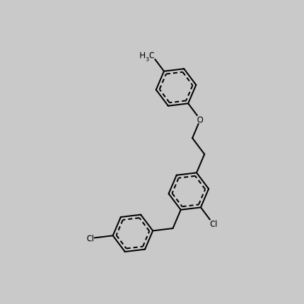 Cc1ccc(OCCc2ccc(Cc3ccc(Cl)cc3)c(Cl)c2)cc1